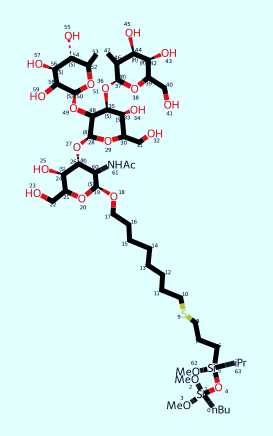 CCCC[Si](OC)(OC)O[Si](CCCSCCCCCCCCO[C@H]1OC(CO)[C@@H](O)[C@H](O[C@@H]2OC(CO)[C@H](O)[C@H](O[C@H]3OC(CO)[C@H](O)[C@H](O)C3C)C2O[C@@H]2OC(C)[C@@H](O)[C@H](O)C2O)C1NC(C)=O)(OC)C(C)C